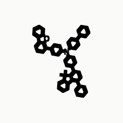 CC1(C)c2ccccc2-c2c(-c3ccccc3)ccc(-c3ccc(N(c4ccc(-c5ccccc5)cc4)c4ccc(-c5cccc6c5oc5ccccc56)cc4)cc3)c21